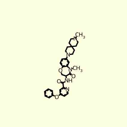 CN1CCC2(CC1)CCN(c1ccc3c(c1)N(C)C(=O)C(NC(=O)c1cc(Oc4ccccc4)ccn1)CO3)CC2